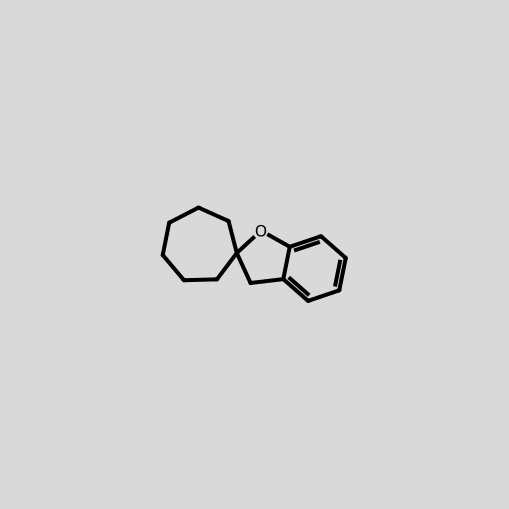 c1ccc2c(c1)CC1(CCCCCC1)O2